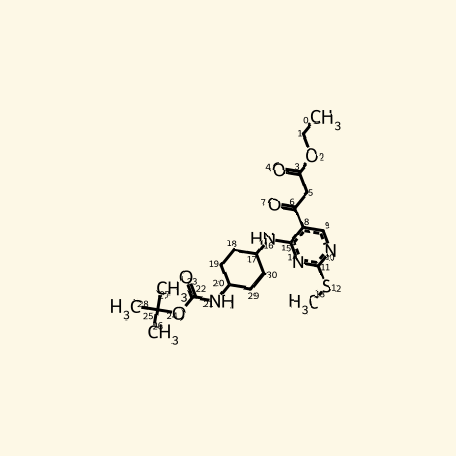 CCOC(=O)CC(=O)c1cnc(SC)nc1NC1CCC(NC(=O)OC(C)(C)C)CC1